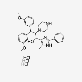 COc1cccc(C(c2cccc(OC)c2)C(C(O)c2nc(-c3ccccc3)[nH]c2C)N2CCNCC2)c1.Cl.Cl.Cl